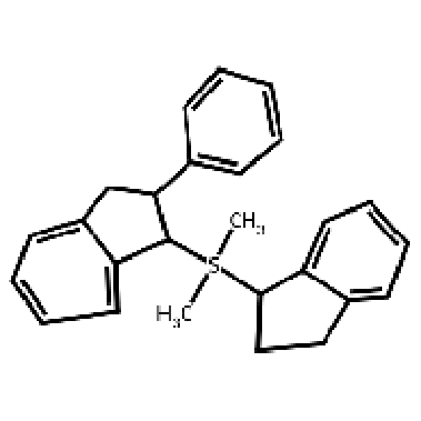 CS(C)(C1CCc2ccccc21)C1c2ccccc2CC1c1ccccc1